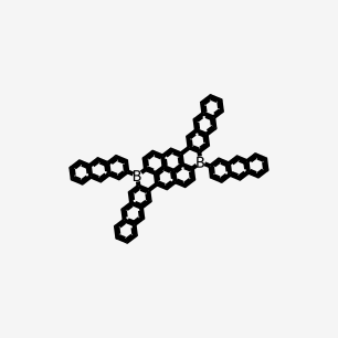 c1ccc2cc3cc(B4c5cc6cc7ccccc7cc6cc5-c5cc6ccc7c8c(cc9ccc4c5c9c68)-c4cc5cc6ccccc6cc5cc4B7c4ccc5cc6ccccc6cc5c4)ccc3cc2c1